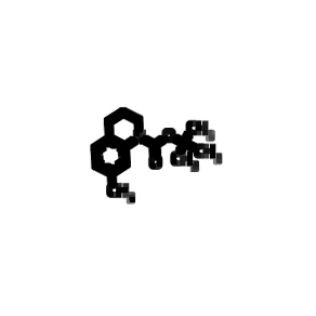 Cc1ccc2c(c1)N(C(=O)OC(C)(C)C)CCC2